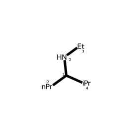 CCCC(NCC)C(C)C